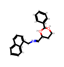 C(=N\Cc1cccc2ccccc12)/C1CCOC(c2ccccc2)O1